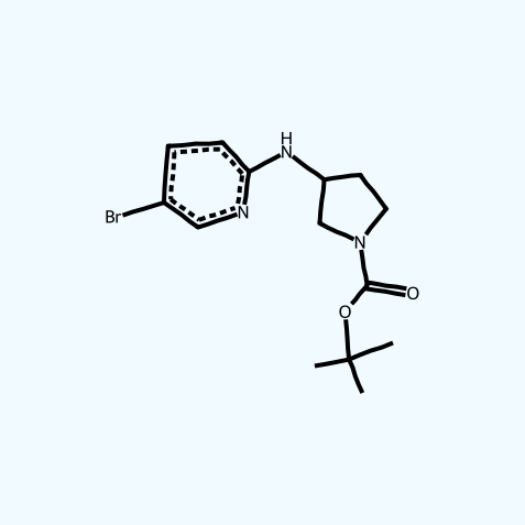 CC(C)(C)OC(=O)N1CCC(Nc2ccc(Br)cn2)C1